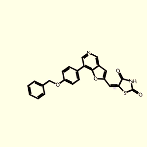 O=C1NC(=O)/C(=C\c2cc3cncc(-c4ccc(OCc5ccccc5)cc4)c3o2)S1